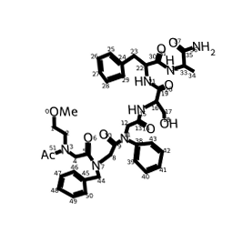 COCCN(CC(=O)N(CC(=O)N(CC(=O)NC(CO)C(=O)NC(Cc1ccccc1)C(=O)NC(C)C(N)=O)c1ccccc1)Cc1ccccc1)C(C)=O